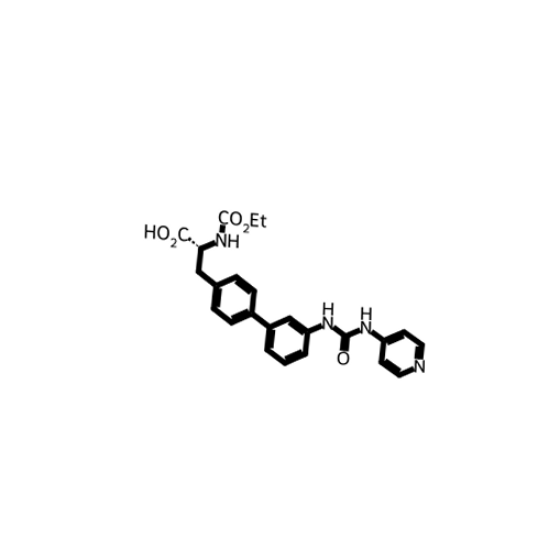 CCOC(=O)N[C@H](Cc1ccc(-c2cccc(NC(=O)Nc3ccncc3)c2)cc1)C(=O)O